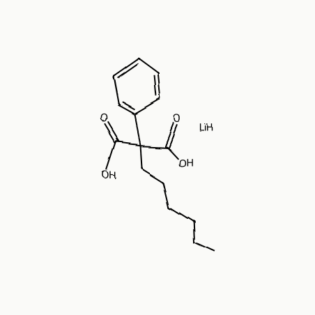 CCCCCCC(C(=O)O)(C(=O)O)c1ccccc1.[LiH]